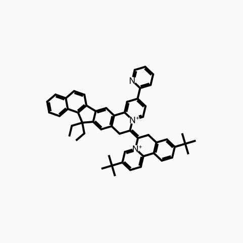 CCC1(CC)c2cc3c(cc2-c2ccc4ccccc4c21)-c1cc(-c2ccccn2)cc[n+]1/C(=C1\Cc2cc(C(C)(C)C)ccc2-c2ccc(C(C)(C)C)c[n+]21)C3